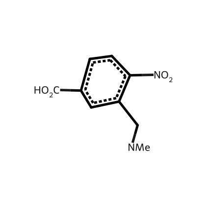 CNCc1cc(C(=O)O)ccc1[N+](=O)[O-]